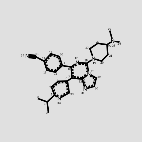 CC(C)c1ccc(-c2c(-c3ccc(C#N)cc3)nc(N3CCC(N(C)C)CC3)n3ccnc23)cn1